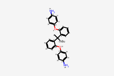 CCCCC(C)(c1ccccc1Oc1ccc(N)cc1)c1ccccc1Oc1ccc(N)cc1